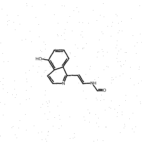 O=CNC=Cc1nccc2c(O)cccc12